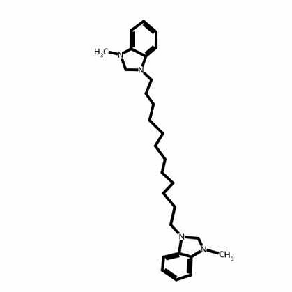 CN1CN(CCCCCCCCCCCCN2CN(C)c3ccccc32)c2ccccc21